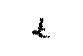 COc1ccc(-c2[nH]c(-c3ccccc3)nc2CCNS(=O)(=O)N2CCN(CCN3CCOCC3)CC2)cc1